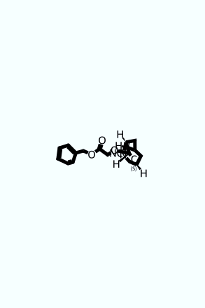 N#CN1C[C@H]2CC3C[C@H]1[C@H]3[C@@H](OCC(=O)OCc1ccccc1)C2